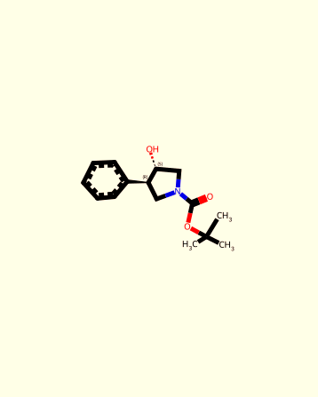 CC(C)(C)OC(=O)N1C[C@@H](O)[C@H](c2ccccc2)C1